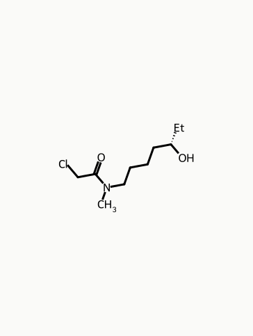 CC[C@H](O)CCCCN(C)C(=O)CCl